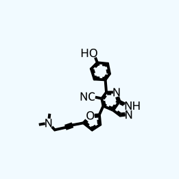 CN(C)CC#Cc1ccc(-c2c(C#N)c(-c3ccc(O)cc3)nc3[nH]ncc23)o1